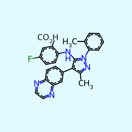 Cc1ccccc1-n1nc(C)c(-c2ccc3nccnc3c2)c1Nc1ccc(F)cc1C(=O)O